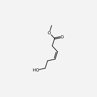 COC(=O)C/C=C\CCO